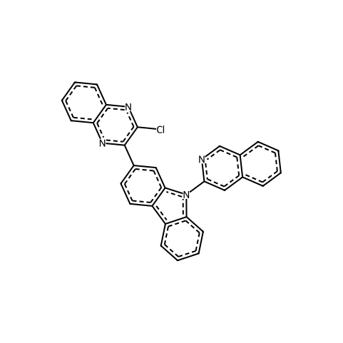 Clc1nc2ccccc2nc1-c1ccc2c3ccccc3n(-c3cc4ccccc4cn3)c2c1